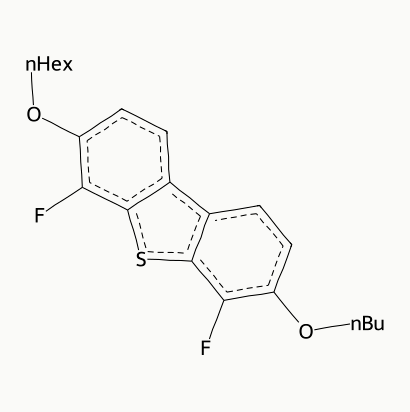 CCCCCCOc1ccc2c(sc3c(F)c(OCCCC)ccc32)c1F